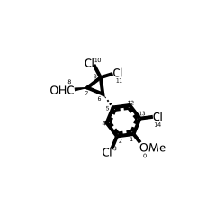 COc1c(Cl)cc([C@@H]2[C@@H](C=O)C2(Cl)Cl)cc1Cl